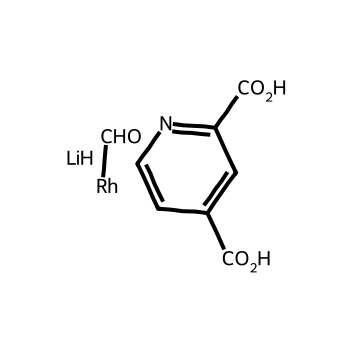 O=C(O)c1ccnc(C(=O)O)c1.O=[CH][Rh].[LiH]